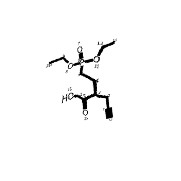 C#CCC(CCP(=O)(OCC)OCC)C(=O)O